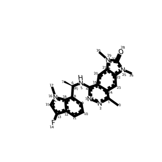 Cc1nnc(N[C@H](C)c2cccc3c(F)cn(C)c23)c2cc3c(cc12)n(C)c(=O)n3C